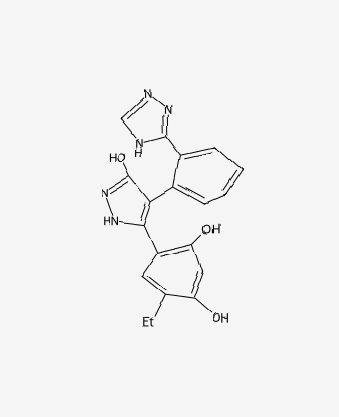 CCc1cc(-c2[nH]nc(O)c2-c2ccccc2-c2nnc[nH]2)c(O)cc1O